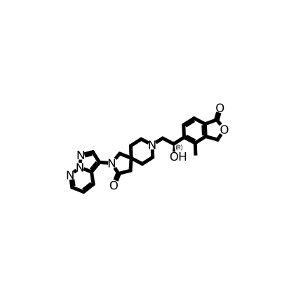 Cc1c([C@@H](O)CN2CCC3(CC2)CC(=O)N(c2cnn4ncccc24)C3)ccc2c1COC2=O